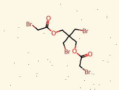 O=C(CBr)OCC(CBr)(CBr)COC(=O)CBr